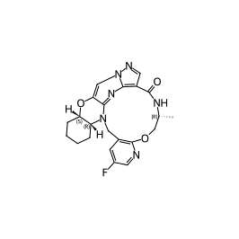 C[C@@H]1COc2ncc(F)cc2CN2c3nc4c(cnn4cc3O[C@H]3CCCC[C@H]32)C(=O)N1